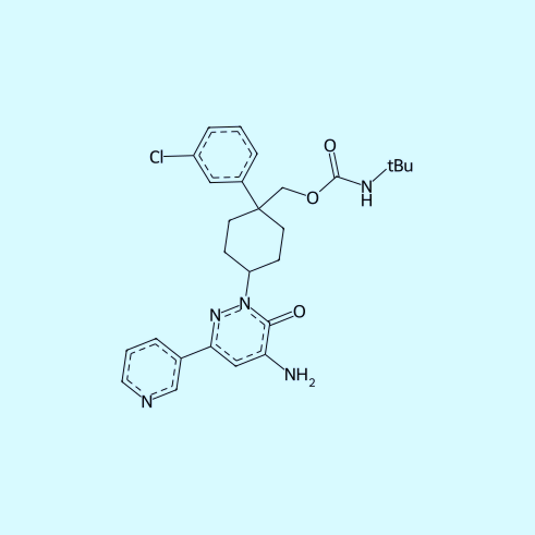 CC(C)(C)NC(=O)OCC1(c2cccc(Cl)c2)CCC(n2nc(-c3cccnc3)cc(N)c2=O)CC1